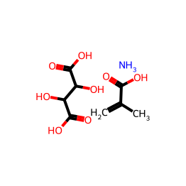 C=C(C)C(=O)O.N.O=C(O)C(O)C(O)C(=O)O